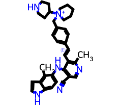 Cc1ncc(C#N)c(Nc2ccc3[nH]ccc3c2C)c1/C=C/c1ccc(C[N+]2(C3CCNCC3)CCCCC2)cc1